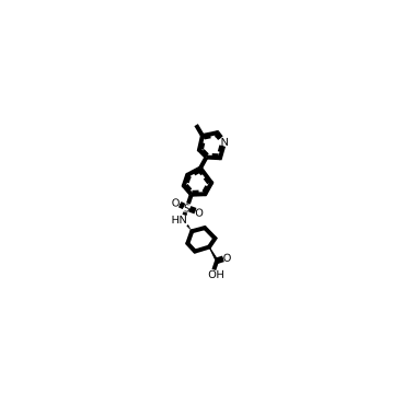 Cc1cncc(-c2ccc(S(=O)(=O)N[C@H]3CC[C@H](C(=O)O)CC3)cc2)c1